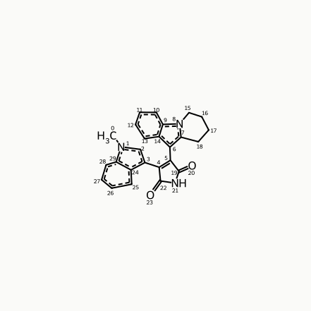 Cn1cc(C2=C(c3c4n(c5ccccc35)CCCC4)C(=O)NC2=O)c2ccccc21